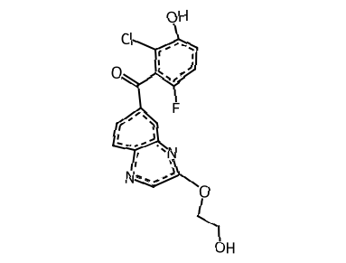 O=C(c1ccc2ncc(OCCO)nc2c1)c1c(F)ccc(O)c1Cl